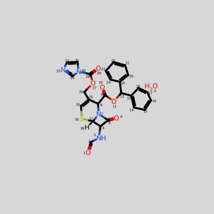 O.O=CNC1C(=O)N2C(C(=O)OC(c3ccccc3)c3ccccc3)C(COC(=O)n3ccnc3)=CS[C@@H]12